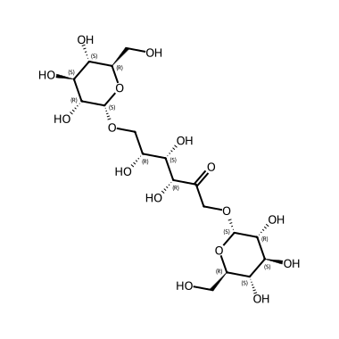 O=C(CO[C@H]1O[C@H](CO)[C@@H](O)[C@H](O)[C@H]1O)[C@H](O)[C@@H](O)[C@H](O)CO[C@H]1O[C@H](CO)[C@@H](O)[C@H](O)[C@H]1O